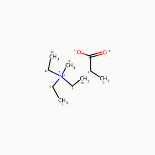 CCC(=O)[O-].CC[N+](C)(CC)CC